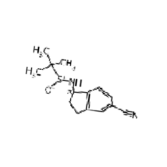 CC(C)(C)[S+]([O-])N[C@@H]1CCc2cc(C#N)ccc21